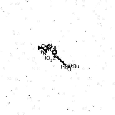 Cn1ncc(-c2nc(NC3CCC(N(CCCCCCCNC(=O)OC(C)(C)C)C(=O)O)CC3)ncc2Cl)c1CC1CC1